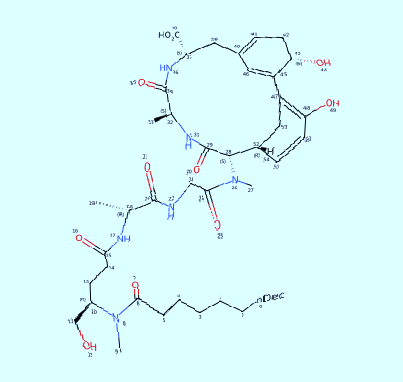 CCCCCCCCCCCCCCCC(=O)N(C)[C@@H](CO)CCC(=O)N[C@H](C)C(=O)NCC(=O)N(C)[C@@H]1C(=O)N[C@@H](C)C(=O)N[C@H](C(=O)O)CC2=CC[C@H](O)C(=C2)C2=C(O)C=C[C@H]1C2